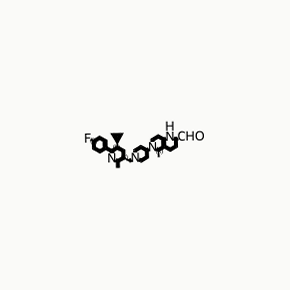 CC1N=C(C2=CC[C@H](F)CC2)[C@@H](C2CC2)C[C@H]1CN1CCC(N2CCC3=C(CCC(C=O)N3)[C@H]2C)CC1